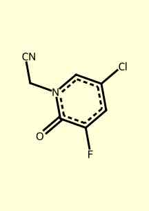 N#CCn1cc(Cl)cc(F)c1=O